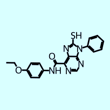 CCOc1ccc(NC(=O)c2ncnc3c2nc(S)n3-c2ccccc2)cc1